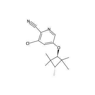 CC1(C)[C@H](C)C(C)(C)[C@H]1Oc1cnc(C#N)c(Cl)c1